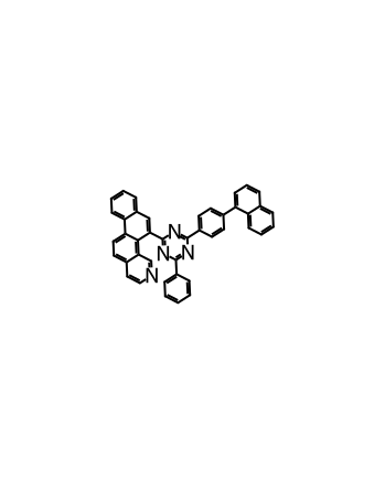 c1ccc(-c2nc(-c3ccc(-c4cccc5ccccc45)cc3)nc(-c3cc4ccccc4c4ccc5ccncc5c34)n2)cc1